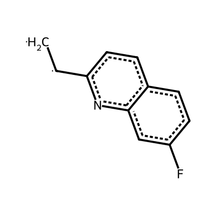 [CH2][CH]c1ccc2ccc(F)cc2n1